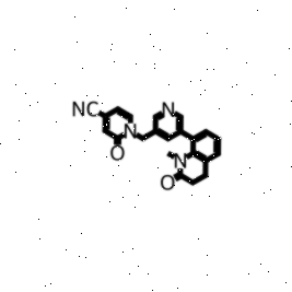 CN1C(=O)CCc2cccc(-c3cncc(Cn4ccc(C#N)cc4=O)c3)c21